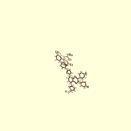 CCCCC(CC)CC1(CC(CC)CCCC)c2cc(C)ccc2-c2ccc(-c3ccc(-c4ccc(-c5ccc(C)s5)c5nc(-c6ccc(F)cc6)c(-c6ccc(F)cc6)nc45)s3)cc21